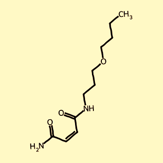 CCCCOCCCNC(=O)/C=C\C(N)=O